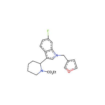 CCOC(=O)N1CCCCC1c1cn(Cc2ccoc2)c2cc(F)ccc12